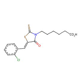 O=C(O)CCCCCN1C(=O)/C(=C/c2ccccc2Cl)SC1=S